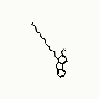 CCCCCCCCCCCCc1c(C=O)ccc2c1Cc1ccccc1-2